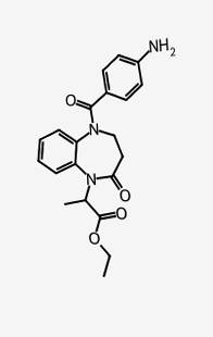 CCOC(=O)C(C)N1C(=O)CCN(C(=O)c2ccc(N)cc2)c2ccccc21